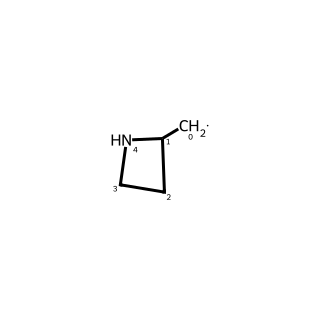 [CH2]C1CCN1